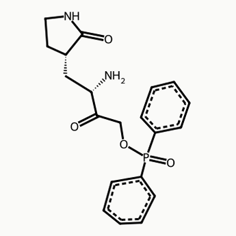 N[C@@H](C[C@@H]1CCNC1=O)C(=O)COP(=O)(c1ccccc1)c1ccccc1